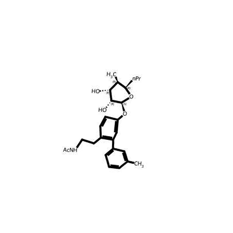 CCC[C@H]1O[C@@H](Oc2ccc(CCNC(C)=O)c(-c3cccc(C)c3)c2)[C@H](O)[C@H](O)[C@H]1C